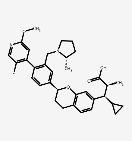 COc1cc(-c2ccc([C@@H]3CCc4ccc([C@H](C5CC5)[C@H](C)C(=O)O)cc4O3)cc2CN2CCC[C@@H]2C)c(F)cn1